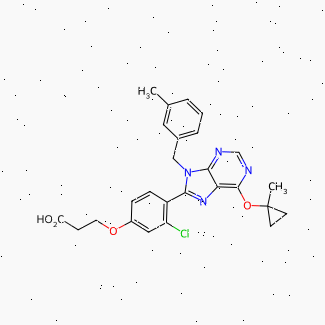 Cc1cccc(Cn2c(-c3ccc(OCCC(=O)O)cc3Cl)nc3c(OC4(C)CC4)ncnc32)c1